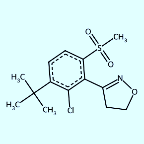 CC(C)(C)c1ccc(S(C)(=O)=O)c(C2=NOCC2)c1Cl